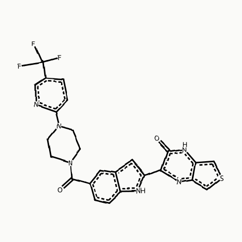 O=C(c1ccc2[nH]c(-c3nc4cscc4[nH]c3=O)cc2c1)N1CCN(c2ccc(C(F)(F)F)cn2)CC1